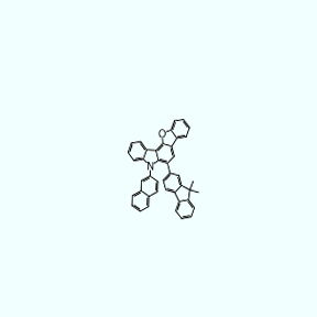 CC1(C)c2ccccc2-c2ccc(-c3cc4c5ccccc5oc4c4c5ccccc5n(-c5ccc6ccccc6c5)c34)cc21